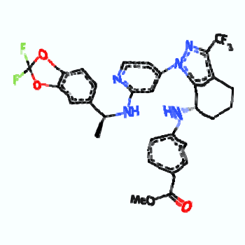 COC(=O)c1ccc(N[C@H]2CCCc3c(C(F)(F)F)nn(-c4ccnc(N[C@@H](C)c5ccc6c(c5)OC(F)(F)O6)c4)c32)cc1